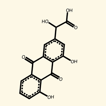 O=C1c2cccc(O)c2C(=O)c2c(O)cc(C(O)C(=O)O)cc21